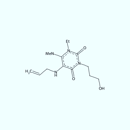 C=CCNc1c(NC)n(CC)c(=O)n(CCCO)c1=O